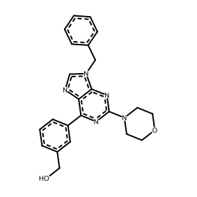 OCc1cccc(-c2nc(N3CCOCC3)nc3c2ncn3Cc2ccccc2)c1